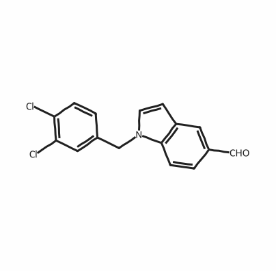 O=Cc1ccc2c(ccn2Cc2ccc(Cl)c(Cl)c2)c1